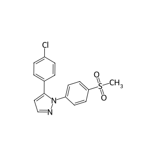 CS(=O)(=O)c1ccc(-n2nccc2-c2ccc(Cl)cc2)cc1